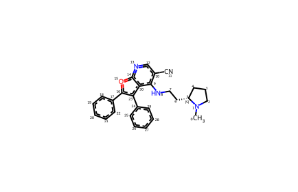 CN1CCC[C@H]1CCNc1c(C#N)cnc2oc(-c3ccccc3)c(-c3ccccc3)c12